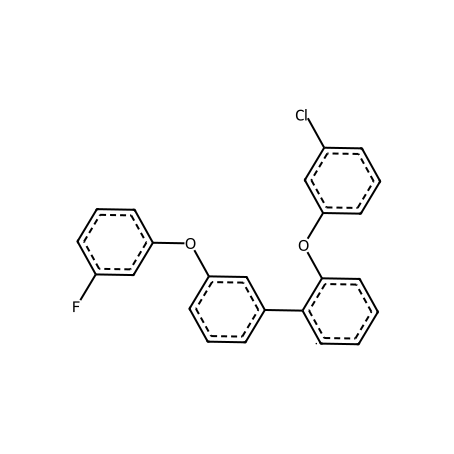 Fc1cccc(Oc2cccc(-c3[c]cccc3Oc3cccc(Cl)c3)c2)c1